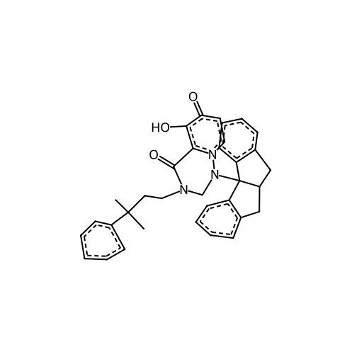 CC(C)(CCN1CN(C23c4ccccc4CC2Cc2ccccc23)n2ccc(=O)c(O)c2C1=O)c1ccccc1